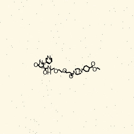 CCOC(=O)C1CCC(N2CCN(C(=O)CCOCCOCCNC(=O)[C@H]3CC(=O)N(C)[C@@H]3c3cccnc3)CC2)CC1